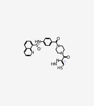 N=N/C(=C\S)C(=O)N1CCN(C(=O)c2ccc(N[S+]([O-])c3cccc4cccnc34)cc2)CC1